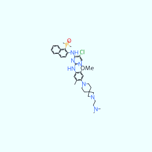 COc1cc(N2CCC3(CC2)CN(CCN(C)C)C3)c(C)cc1Nc1ncc(Cl)c(Nc2ccc3ccccc3c2P(C)(C)=O)n1